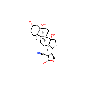 COc1occ([C@H]2CC[C@]3(O)[C@@H]4CC[C@]5(O)C[C@@H](O)CC[C@]5(C)[C@H]4CC[C@]23C)c1C#N